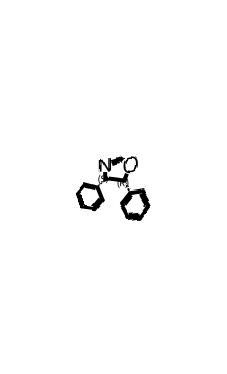 C1=N[C@@H](c2ccccc2)[C@@H](c2ccccc2)O1